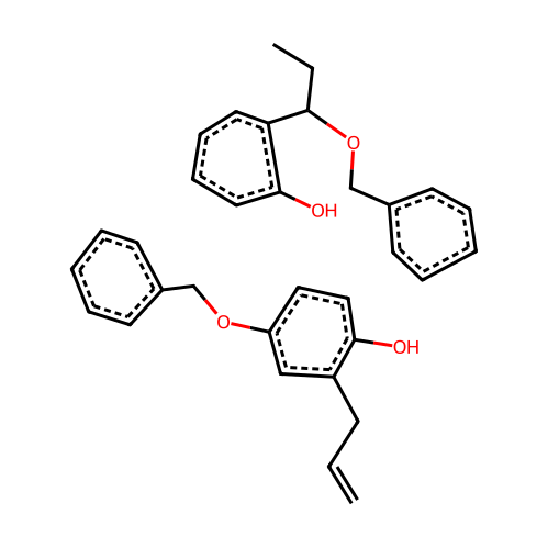 C=CCc1cc(OCc2ccccc2)ccc1O.CCC(OCc1ccccc1)c1ccccc1O